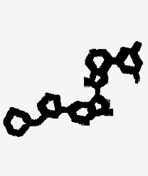 Cc1cc(F)cc(-c2cncc3[nH]c(-c4n[nH]c5ncc(-c6cncc(CN7CCCCC7)c6)cc45)cc23)c1